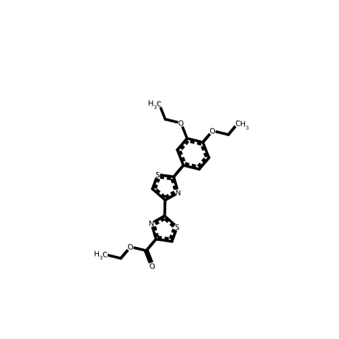 CCOC(=O)c1csc(-c2csc(-c3ccc(OCC)c(OCC)c3)n2)n1